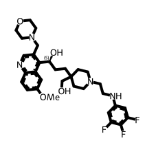 COc1ccc2ncc(CN3CCOCC3)c([C@@H](O)CCC3(CO)CCN(CCNc4cc(F)c(F)c(F)c4)CC3)c2c1